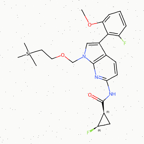 COc1cccc(F)c1-c1cn(COCC[Si](C)(C)C)c2nc(NC(=O)[C@H]3C[C@H]3F)ccc12